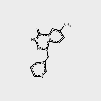 Cc1ccc2c(Cc3cccnc3)n[nH]c(=O)c2c1